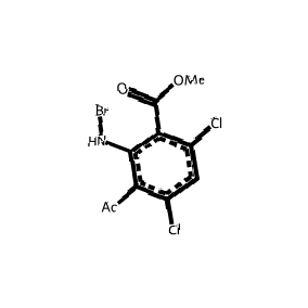 COC(=O)c1c(Cl)cc(Cl)c(C(C)=O)c1NBr